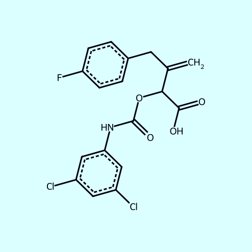 C=C(Cc1ccc(F)cc1)C(OC(=O)Nc1cc(Cl)cc(Cl)c1)C(=O)O